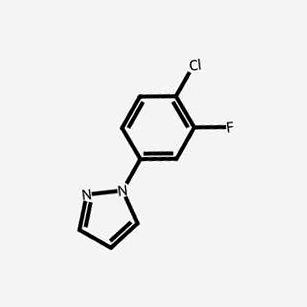 Fc1cc(-n2cccn2)ccc1Cl